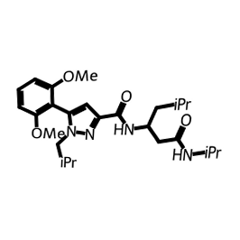 COc1cccc(OC)c1-c1cc(C(=O)NC(CC(=O)NC(C)C)CC(C)C)nn1CC(C)C